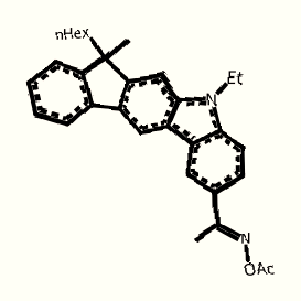 CCCCCCC1(C)c2ccccc2-c2cc3c4cc(/C(C)=N/OC(C)=O)ccc4n(CC)c3cc21